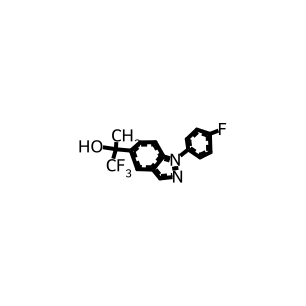 CC(O)(c1ccc2c(cnn2-c2ccc(F)cc2)c1)C(F)(F)F